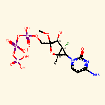 COC1(COP(=O)(O)OP(=O)(O)OP(=O)(O)O)O[C@H]2C(n3ccc(N)nc3=O)[C@]2(F)[C@@H]1O